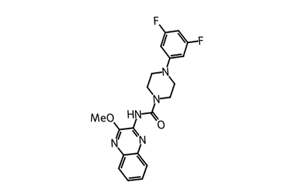 COc1nc2ccccc2nc1NC(=O)N1CCN(c2cc(F)cc(F)c2)CC1